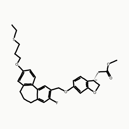 CCSCCCOc1ccc2c(c1)CCCc1cc(F)c(COc3ccc4c(c3)OC[C@H]4CC(=O)OC)cc1-2